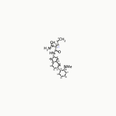 C=C/C=C(/C(=O)Nc1nc2ccc(-c3ccccc3NC)nc2s1)N(C)N